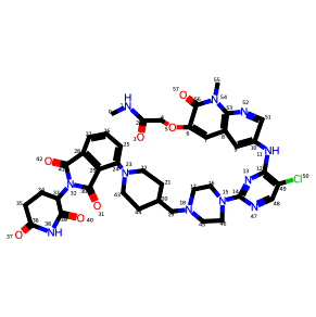 CNC(=O)COc1cc2cc(Nc3nc(N4CCN(CC5CCN(c6cccc7c6C(=O)N(C6CCC(=O)NC6=O)C7=O)CC5)CC4)ncc3Cl)cnc2n(C)c1=O